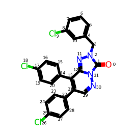 O=c1n(Cc2cccc(Cl)c2)nc2c(-c3ccc(Cl)cc3)c(-c3ccc(Cl)cc3)cnn12